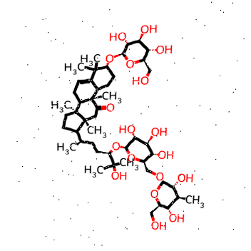 C[C@@H]1[C@@H](O)[C@H](OC[C@H]2O[C@@H](O[C@H](CC[C@@H](C)C3CC[C@@]4(C)C5CC=C6C(CC[C@H](O[C@@H]7O[C@H](CO)[C@@H](O)[C@H](O)[C@H]7O)C6(C)C)[C@]5(C)C(=O)C[C@]34C)C(C)(C)O)[C@H](O)[C@@H](O)[C@@H]2O)O[C@H](CO)[C@H]1O